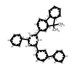 CC1(C)c2ccccc2-c2ccc(-c3nc(-c4ccccc4)nc(-c4cccc(-c5ccccc5)c4)n3)cc21